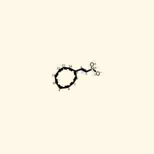 O=[N+]([O-])/C=C/c1ccccccccc1